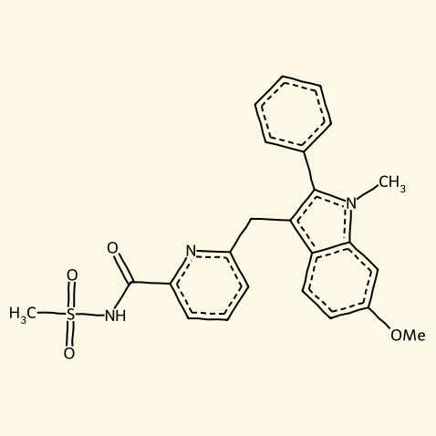 COc1ccc2c(Cc3cccc(C(=O)NS(C)(=O)=O)n3)c(-c3ccccc3)n(C)c2c1